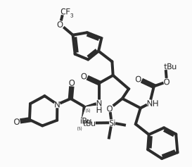 CC[C@H](C)[C@H](NC(=O)C(Cc1ccc(OC(F)(F)F)cc1)CC(O[Si](C)(C)C(C)(C)C)C(Cc1ccccc1)NC(=O)OC(C)(C)C)C(=O)N1CCC(=O)CC1